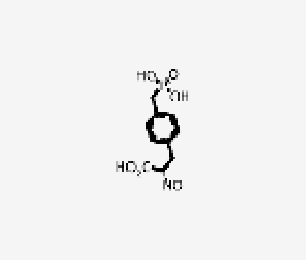 O=N[C@@H](Cc1ccc(CP(=O)(O)O)cc1)C(=O)O